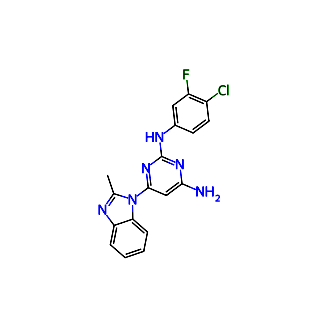 Cc1nc2ccccc2n1-c1cc(N)nc(Nc2ccc(Cl)c(F)c2)n1